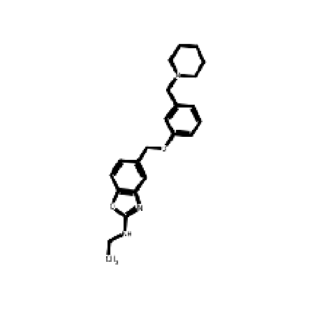 CCNc1nc2cc(COc3cccc(CN4CCCCC4)c3)ccc2o1